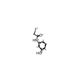 O=C(CF)Nc1cccc(O)c1